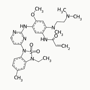 C=CC(=O)Nc1cc(Nc2nccc(N3c4ccc(C)cc4N(CC)S3(=O)=O)n2)c(OC)cc1N(C)CCN(C)C